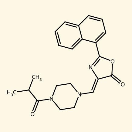 CC(C)C(=O)N1CCN(C=C2N=C(c3cccc4ccccc34)OC2=O)CC1